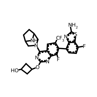 Nc1nc2c(-c3c(C(F)(F)F)cc4c(N5CC6CCC(C5)N6)nc(OC5CC(O)C5)nc4c3F)ccc(F)c2s1